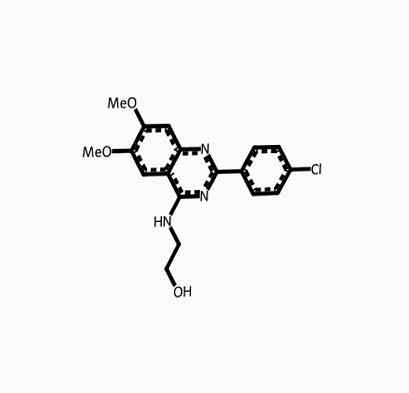 COc1cc2nc(-c3ccc(Cl)cc3)nc(NCCO)c2cc1OC